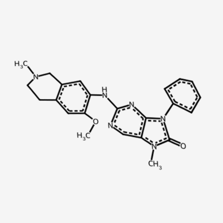 COc1cc2c(cc1Nc1ncc3c(n1)n(-c1ccccc1)c(=O)n3C)CN(C)CC2